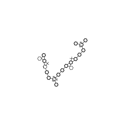 CC1(C)C2=C(C=CC(c3ccc(-c4cccc(-c5nc(-c6ccccc6)nc(-c6ccc(-c7ccc(-c8ccc9c(c8)C8(CCCCC8)c8cc%10c(cc8-9)C(C)(C)c8cc(-c9ccc(-c%11cccc(-c%12cc(-c%13ccccc%13)nc(-c%13ccccc%13)n%12)c%11)cc9)ccc8-%10)cc7)cc6)n5)c4)cc3)C2)c2cc3c(cc21)-c1ccccc1C31CCCCC1